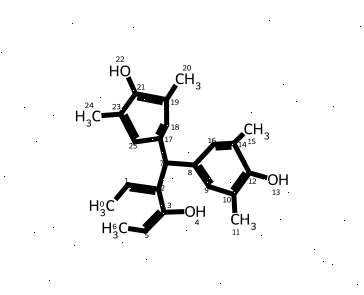 C/C=C(\C(O)=C/C)C(c1cc(C)c(O)c(C)c1)c1cc(C)c(O)c(C)c1